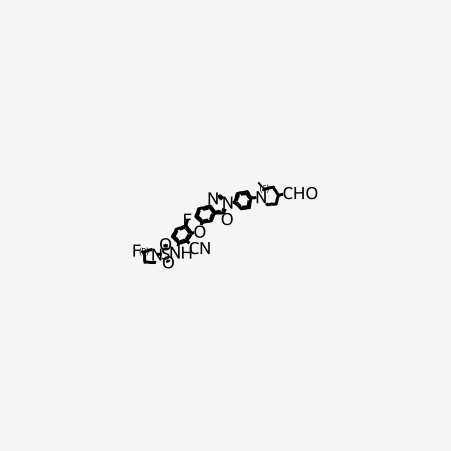 C[C@H]1CC(C=O)CCN1c1ccc(-n2cnc3ccc(Oc4c(F)ccc(NS(=O)(=O)N5CC[C@@H](F)C5)c4C#N)cc3c2=O)cc1